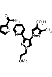 COCCn1cc(-n2cc(C(=O)O)c(C)n2)c(-c2ccccn2)n1.NC(=O)c1ccco1